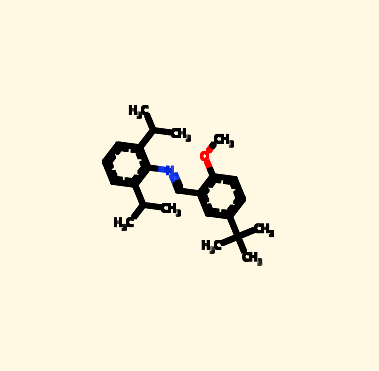 COc1ccc(C(C)(C)C)cc1C=Nc1c(C(C)C)cccc1C(C)C